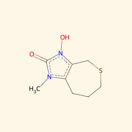 Cn1c2c(n(O)c1=O)CSCCC2